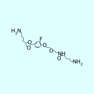 NCCCCC(=O)NCCOCCOc1ccc(C2OCC(CCCCN)O2)cc1F